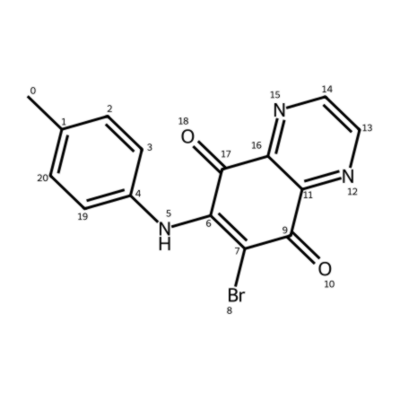 Cc1ccc(NC2=C(Br)C(=O)c3nccnc3C2=O)cc1